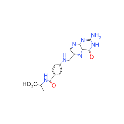 CC(NC(=O)c1ccc(NCC2=NC3C(=O)NC(N)=NC3N=C2)cc1)C(=O)O